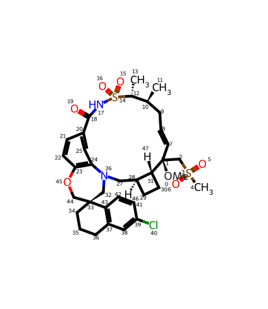 CO[C@]1(CS(C)(=O)=O)/C=C/C[C@H](C)[C@@H](C)S(=O)(=O)NC(=O)c2ccc3c(c2)N(C[C@@H]2CC[C@H]21)C[C@@]1(CCCc2cc(Cl)ccc21)CO3